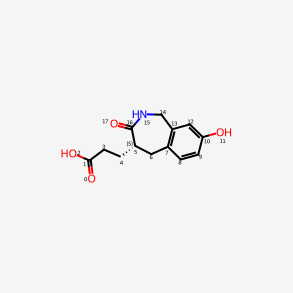 O=C(O)CC[C@H]1Cc2ccc(O)cc2CNC1=O